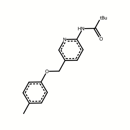 Cc1ccc(OCc2ccc(NC(=O)C(C)(C)C)nc2)cc1